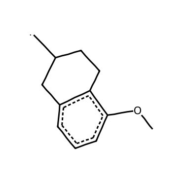 [CH2]C1CCc2c(cccc2OC)C1